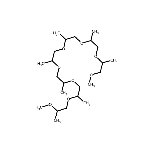 COCC(C)OCC(C)OCC(C)OCC(C)OCC(C)OCC(C)OCC(C)OC